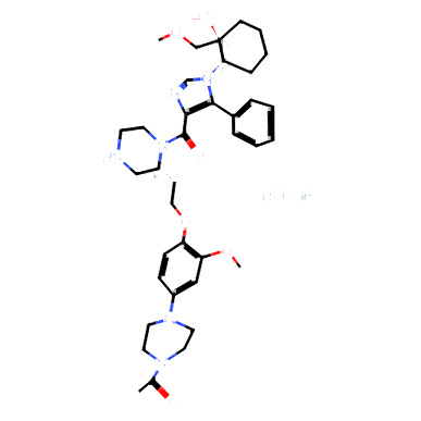 COC[C@]1(O)CCCC[C@H]1n1cnc(C(=O)N2CCNC[C@H]2CCOc2ccc(N3CCN(C(C)=O)CC3)cc2OC)c1-c1ccccc1.Cl.Cl